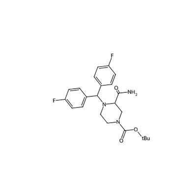 CC(C)(C)OC(=O)N1CCN(C(c2ccc(F)cc2)c2ccc(F)cc2)C(C(N)=O)C1